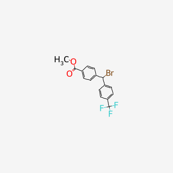 COC(=O)c1ccc(C(Br)c2ccc(C(F)(F)F)cc2)cc1